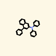 c1ccc(-c2cc(N(c3ccccc3)c3ccccc3)cc3ccccc23)cc1